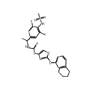 CC(NC(=O)Oc1coc(Oc2cccc3c2CCCC3)n1)c1cc(F)c(NS(C)(=O)=O)c(F)c1